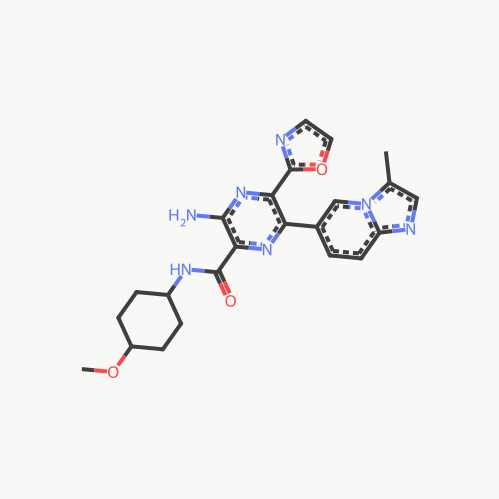 COC1CCC(NC(=O)c2nc(-c3ccc4ncc(C)n4c3)c(-c3ncco3)nc2N)CC1